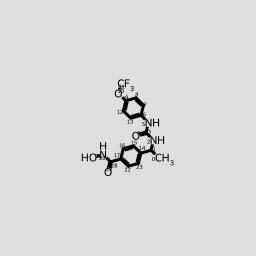 CC(NC(=O)Nc1ccc(OC(F)(F)F)cc1)c1ccc(C(=O)NO)cc1